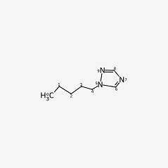 CCCCCn1cncn1